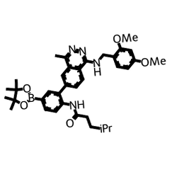 COc1ccc(CNc2nnc(C)c3cc(-c4cc(B5OC(C)(C)C(C)(C)O5)ccc4NC(=O)CCC(C)C)ccc23)c(OC)c1